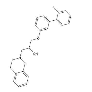 Cc1ccccc1-c1cccc(OCC(O)CN2CCc3ccccc3C2)c1